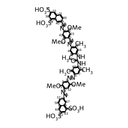 COc1cc(N=Nc2cc(C)c(NC(=O)Nc3cc(C)c(N=Nc4cc(OC)c(N=Nc5ccc6cc(S(=O)(=O)O)cc(S(=O)(=O)O)c6c5)cc4OC)cc3C)cc2C)c(OC)cc1N=Nc1ccc2cc(S(=O)(=O)O)cc(S(=O)(=O)O)c2c1